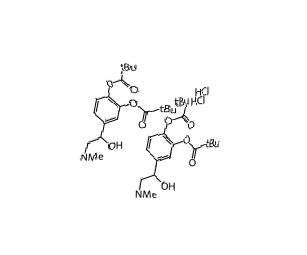 CNCC(O)c1ccc(OC(=O)C(C)(C)C)c(OC(=O)C(C)(C)C)c1.CNCC(O)c1ccc(OC(=O)C(C)(C)C)c(OC(=O)C(C)(C)C)c1.Cl.Cl